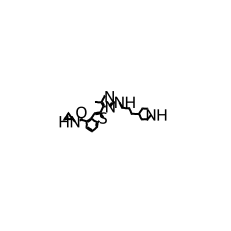 Cc1cnc(NCCCC2CCNCC2)nc1-c1cc2c(C(=O)NC3CC3)cccc2s1